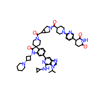 CC(C)n1cnc2cc(-c3ccc4c(c3)N([C@H]3C[C@@H](N5CCCCC5)C3)C(=O)C43CCN(C(=O)C4C5CN(C(=O)C6CCN(c7ccc(C8CCC(=O)NC8=O)cn7)CC6)CC54)CC3)nc(NC3CC3)c21